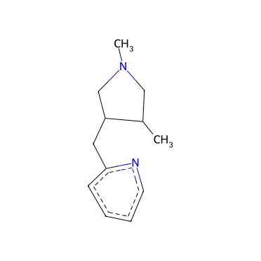 CC1CN(C)CC1Cc1ccccn1